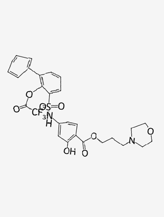 O=C(OCCCN1CCOCC1)c1ccc(NS(=O)(=O)c2cccc(-c3ccccc3)c2OC(=O)C(F)(F)F)cc1O